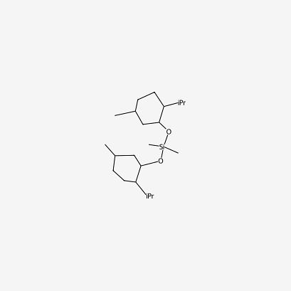 CC1CCC(C(C)C)C(O[Si](C)(C)OC2CC(C)CCC2C(C)C)C1